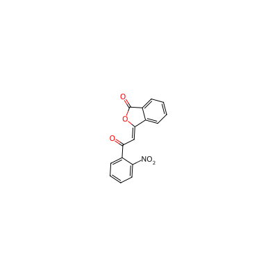 O=C1OC(=CC(=O)c2ccccc2[N+](=O)[O-])c2ccccc21